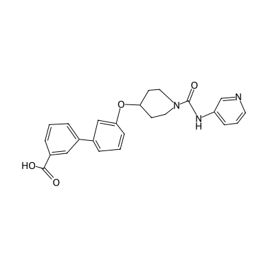 O=C(O)c1cccc(-c2cccc(OC3CCN(C(=O)Nc4cccnc4)CC3)c2)c1